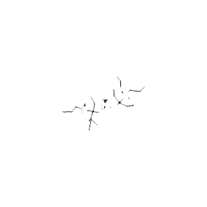 CCCP(=O)(OCC)C(CC)(CC)O[PH](=O)OC(CC)(CC)P(=O)(CCC)OCC